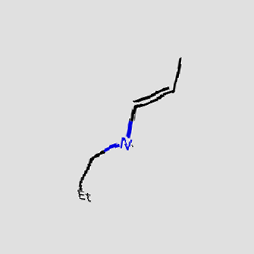 CC=C[N]CCC